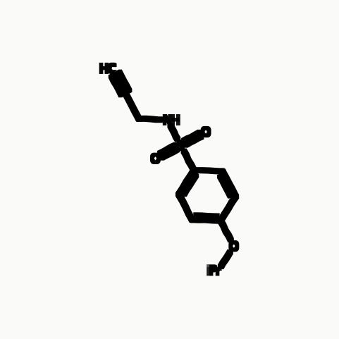 C#CCNS(=O)(=O)c1ccc(OC(C)C)cc1